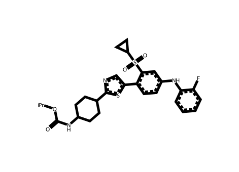 CC(C)OC(=O)NC1CCC(c2ncc(-c3ccc(Nc4ccccc4F)cc3S(=O)(=O)C3CC3)s2)CC1